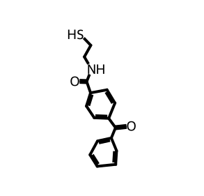 O=C(NCCS)c1ccc(C(=O)c2ccccc2)cc1